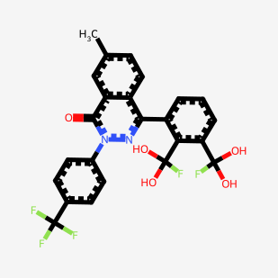 Cc1ccc2c(-c3cccc(C(O)(O)F)c3C(O)(O)F)nn(-c3ccc(C(F)(F)F)cc3)c(=O)c2c1